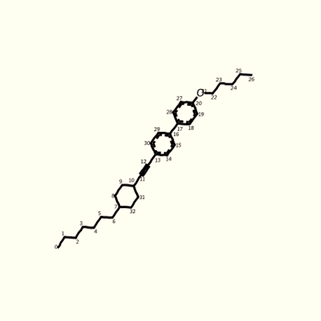 CCCCCCCC1CCC(C#Cc2ccc(-c3ccc(OCCCCC)cc3)cc2)CC1